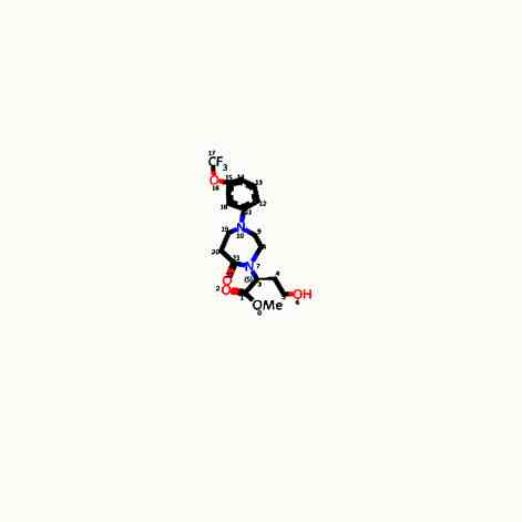 COC(=O)[C@H](CCO)N1CCN(c2cccc(OC(F)(F)F)c2)CCC1=O